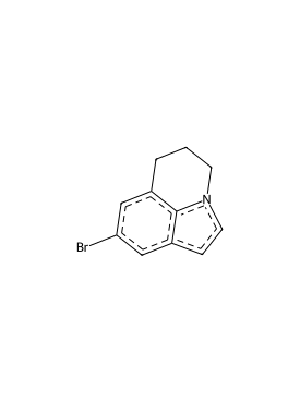 Brc1cc2c3c(ccn3CCC2)c1